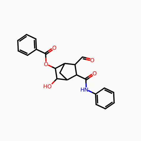 O=CC1C2CC(C(O)C2OC(=O)c2ccccc2)C1C(=O)Nc1ccccc1